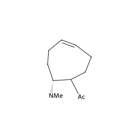 CN[C@@H]1CC/C=C\CCC1C(C)=O